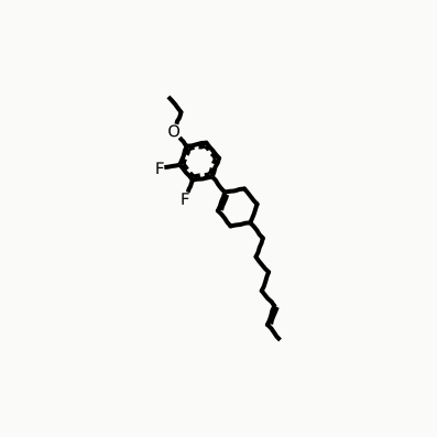 C/C=C/CCCCC1CC=C(c2ccc(OCC)c(F)c2F)CC1